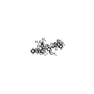 CCCCC(NC(=O)[C@@H]1C2C(CN1C(=O)[C@@H](NC(=O)Oc1ccccc1)C(C)(C)C)C2(C)C)C(=O)C(=O)NCC(=O)N[C@H](C(=O)N(C)C)c1ccccc1